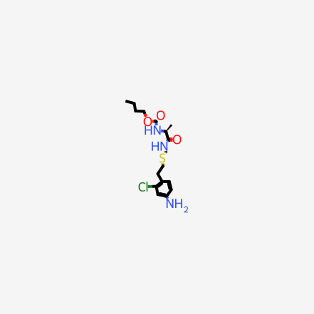 CCCCOC(=O)N[C@@H](C)C(=O)NCSCCc1ccc(N)cc1Cl